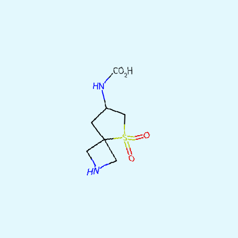 O=C(O)NC1CC2(CNC2)S(=O)(=O)C1